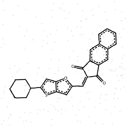 O=C1C(=Cc2cc3sc(C4CCCCC4)cc3o2)C(=O)c2cc3ccccc3cc21